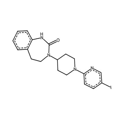 O=C1Nc2ccccc2CCN1C1CCN(c2ccc(I)cn2)CC1